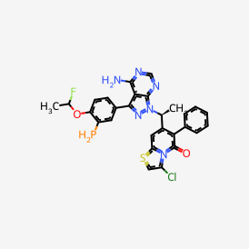 CC(F)Oc1ccc(-c2nn([C@@H](C)c3cc4scc(Cl)n4c(=O)c3-c3ccccc3)c3ncnc(N)c23)cc1P